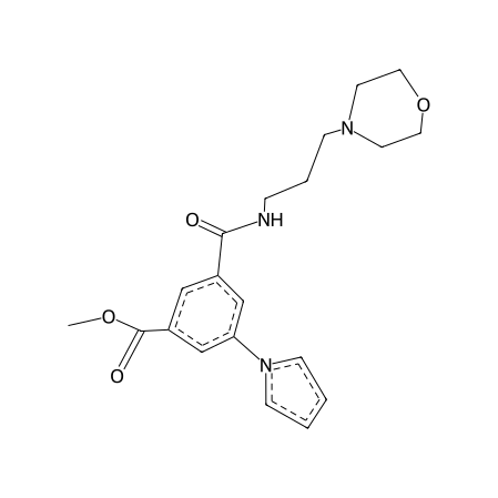 COC(=O)c1cc(C(=O)NCCCN2CCOCC2)cc(-n2cccc2)c1